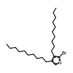 CCCCCCCCCCc1csc(Br)c1CCCCCCCCCC